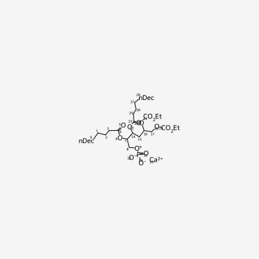 CCCCCCCCCCCCCC(=O)OC(COP(=O)([O-])[O-])C(CC(COC(=O)OCC)OC(=O)OCC)OC(=O)CCCCCCCCCCCCC.[Ca+2]